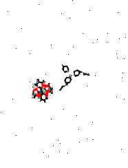 Fc1c(F)c(F)c([B-](c2c(F)c(F)c(F)c(F)c2F)(c2c(F)c(F)c(F)c(F)c2F)c2c(F)c(F)c(F)c(F)c2F)c(F)c1F.OCCOc1ccc([S+](c2ccc(S)cc2)c2ccc(OCCO)cc2)cc1